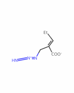 CCC=C(CN=[N+]=N)C(=O)[O-]